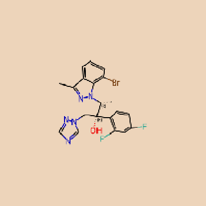 Cc1nn([C@H](C)[C@](O)(Cn2cncn2)c2ccc(F)cc2F)c2c(Br)cccc12